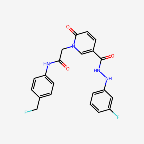 O=C(Cn1cc(C(=O)NNc2cccc(F)c2)ccc1=O)Nc1ccc(CF)cc1